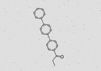 CCC(=O)c1ccc(-c2ccc(-c3ccccc3)cc2)cc1